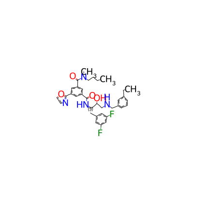 CCCCN(C)C(=O)c1cc(C(=O)N[C@@H](Cc2cc(F)cc(F)c2)C(O)CNCc2cccc(CC)c2)cc(-c2ncco2)c1